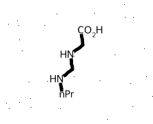 CCCNCNCC(=O)O